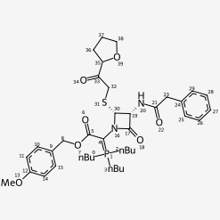 CCCCP(CCCC)(CCCC)=C(C(=O)OCc1ccc(OC)cc1)N1C(=O)[C@@H](NC(=O)Cc2ccccc2)[C@H]1SCC(=O)C1CCCO1